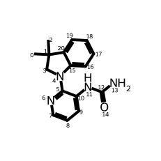 CC1(C)CN(c2ncccc2NC(N)=O)c2ccccc21